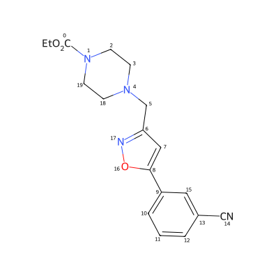 CCOC(=O)N1CCN(Cc2cc(-c3cccc(C#N)c3)on2)CC1